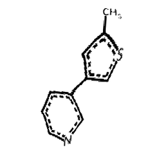 Cc1cc(-c2cccnc2)cs1